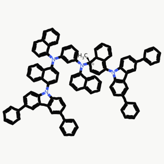 C[C@]1(N(c2cccc(N(c3cccc4ccccc34)c3ccc(-n4c5ccc(-c6ccccc6)cc5c5cc(-c6ccccc6)ccc54)c4ccccc34)c2)c2cccc3ccccc23)C=CC(n2c3ccc(-c4ccccc4)cc3c3cc(-c4ccccc4)ccc32)=C2C=CC=CC21